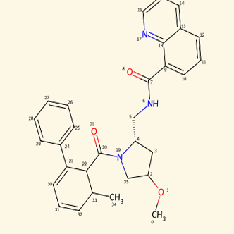 COC1C[C@@H](CNC(=O)c2cccc3cccnc23)N(C(=O)C2C(c3ccccc3)=CC=CC2C)C1